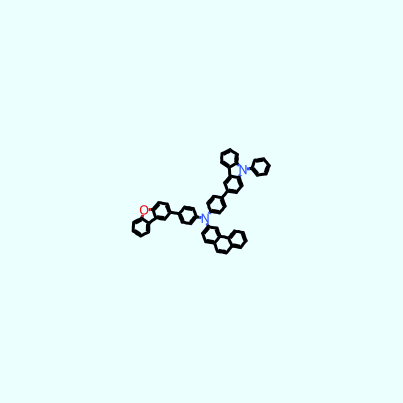 c1ccc(-n2c3ccccc3c3cc(-c4ccc(N(c5ccc(-c6ccc7oc8ccccc8c7c6)cc5)c5ccc6ccc7ccccc7c6c5)cc4)ccc32)cc1